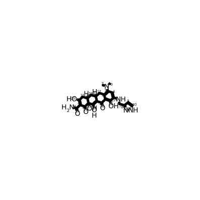 CN(C)c1cc(NCc2cc[nH]n2)c(O)c2c1C[C@H]1C[C@H]3CC(O)=C(C(N)=O)C(=O)[C@@]3(O)C(O)=C1C2=O